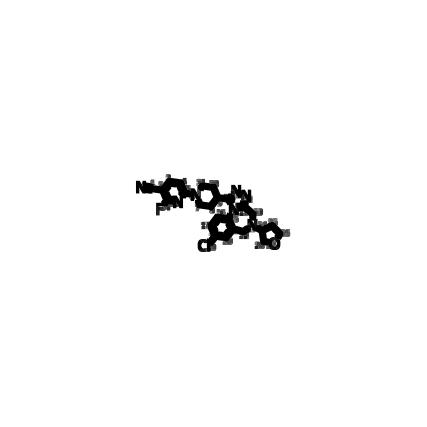 N#Cc1ccc(N2CCC(c3nnc4n3-c3ccc(Cl)cc3CN(C3CCOC3)C4)CC2)nc1F